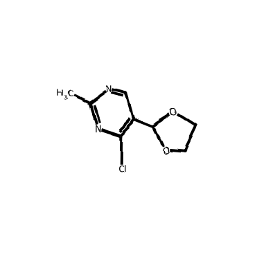 Cc1ncc(C2OCCO2)c(Cl)n1